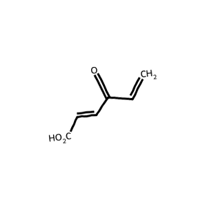 C=CC(=O)C=CC(=O)O